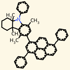 Cc1cc(-c2cc(-c3ccccc3)c3ccc4ccc(-c5ccccc5)c5ccc2c3c45)c(C)c2c1N(c1ccccc1)C1(C)CCCCC21C